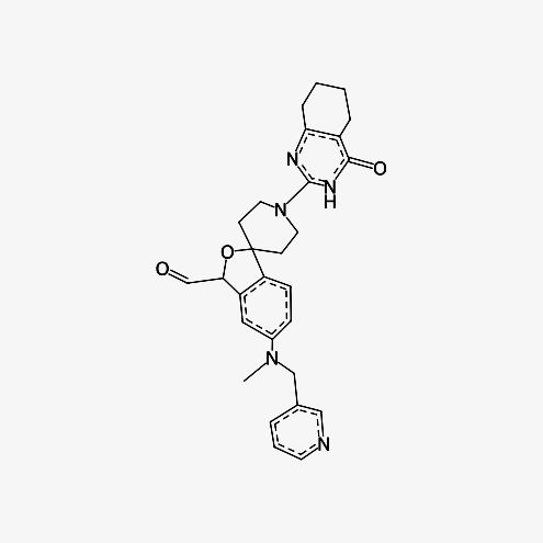 CN(Cc1cccnc1)c1ccc2c(c1)C(C=O)OC21CCN(c2nc3c(c(=O)[nH]2)CCCC3)CC1